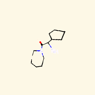 [NH]C(C(=O)N1CCCCCC1)C1CCCC1